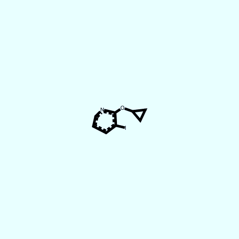 Ic1cccnc1OC1CC1